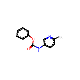 CC(C)(C)c1ccc(NC(=O)Oc2ccccc2)cn1